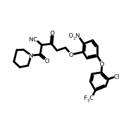 N#CC(C(=O)CCOc1cc(Oc2ccc(C(F)(F)F)cc2Cl)ccc1[N+](=O)[O-])C(=O)N1CCCCC1